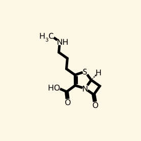 CNCCCC1=C(C(=O)O)N2C(=O)C[C@@H]2S1